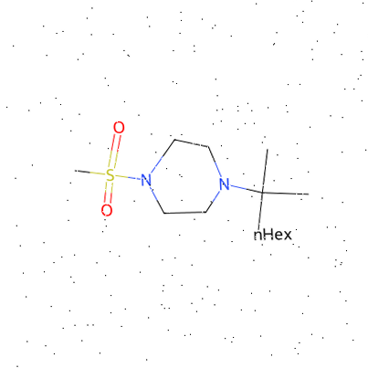 CCCCCCC(C)(C)N1CCN(S(C)(=O)=O)CC1